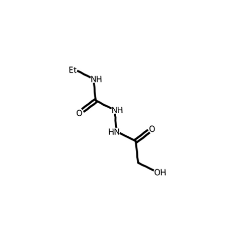 CCNC(=O)NNC(=O)CO